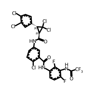 O=C(Nc1ccc(F)c(NC(=O)C(F)(F)F)c1F)c1cc(NC(=O)[C@H]2[C@H](c3ccc(Cl)c(Cl)c3)C2(Cl)Cl)ccc1Cl